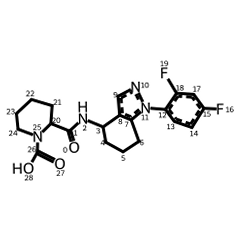 O=C(NC1CCCc2c1cnn2-c1ccc(F)cc1F)C1CCCCN1C(=O)O